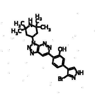 CC1(C)CC(n2nnc3cc(-c4ccc(-c5c[nH]nc5Br)cc4O)nnc32)CC(C)(C)N1